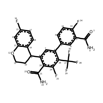 NC(=O)c1cc(-c2cc(C3CCOc4cc(F)ccc43)c(C(N)=O)c(F)c2C(F)(F)F)ccc1F